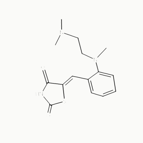 CN(C)CCN(C)c1ccccc1C=C1SC(=O)NC1=O